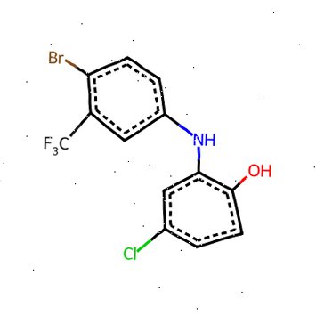 Oc1ccc(Cl)cc1Nc1ccc(Br)c(C(F)(F)F)c1